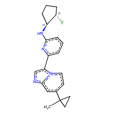 CC1(c2ccn3c(-c4cccc(N[C@H]5CCC[C@@H]5F)n4)cnc3c2)CC1